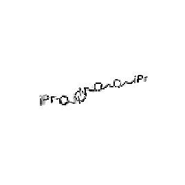 CC(C)CCCOCCCOCCN1CCN(Cc2ccc(C(C)C)cc2)CC1